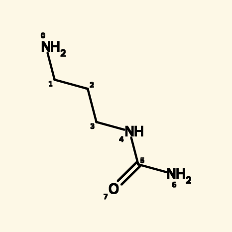 NCCCNC(N)=O